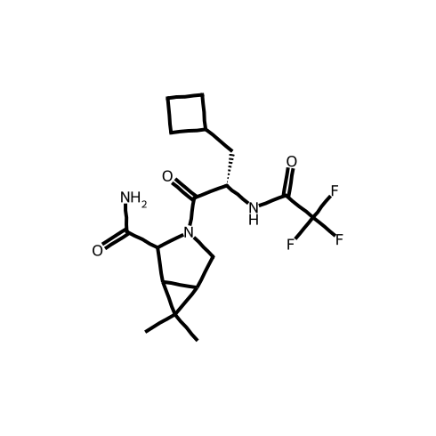 CC1(C)C2CN(C(=O)[C@H](CC3CCC3)NC(=O)C(F)(F)F)C(C(N)=O)C21